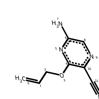 C=CCOc1nc(N)cnc1C#N